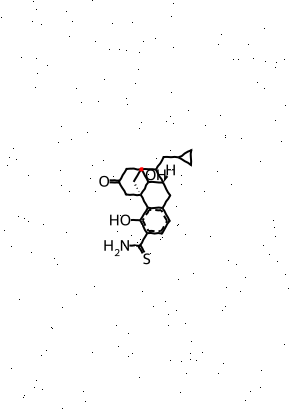 NC(=S)c1ccc2c(c1O)[C@]13CCC(CC4CC4)[C@H](C2)[C@]1(O)CCC(=O)C3